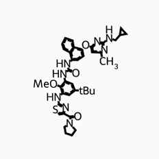 COc1c(NC(=O)Nc2ccc(Oc3cc(C)nc(NCC4CC4)n3)c3ccccc23)cc(C(C)(C)C)cc1Nc1nc(C(=O)N2CCCC2)cs1